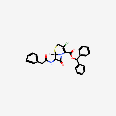 O=C(Cc1ccccc1)NC1C(=O)N2C(C(=O)OC(c3ccccc3)c3ccccc3)=C(Cl)CS[C@H]12